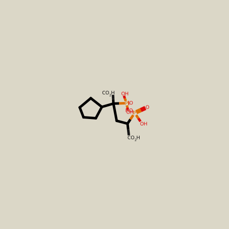 O=C(O)C(CC(C(=O)O)(C1CCCC1)P(=O)(O)O)P(=O)(O)O